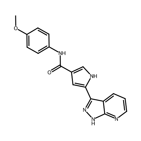 COc1ccc(NC(=O)c2c[nH]c(-c3n[nH]c4ncccc34)c2)cc1